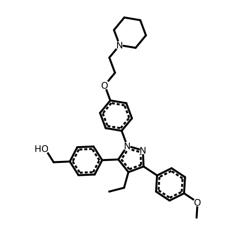 CCc1c(-c2ccc(OC)cc2)nn(-c2ccc(OCCN3CCCCC3)cc2)c1-c1ccc(CO)cc1